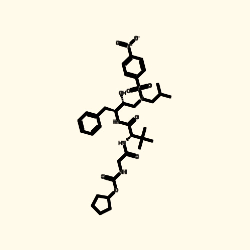 CC(C)CN(C[C@@H](O)[C@H](Cc1ccccc1)NC(=O)[C@@H](NC(=O)CNC(=O)OC1CCCC1)C(C)(C)C)S(=O)(=O)c1ccc([N+](=O)[O-])cc1